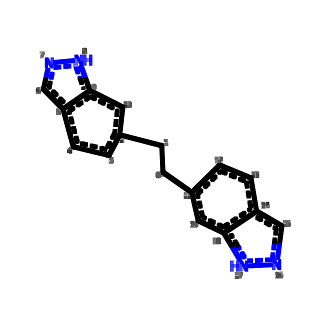 [CH](Cc1ccc2cn[nH]c2c1)c1ccc2cn[nH]c2c1